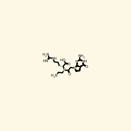 N=C(N)NCCC[C@H](C(=O)O)N(CCN)C(=O)Cn1ccc2c(=O)[nH]c(N)nc21